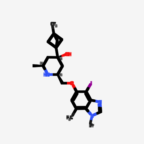 CC(C)n1cnc2c(I)c(OC[C@@H]3C[C@](O)(C45CC(C(F)(F)F)(C4)C5)C[C@H](C)N3)cc(C(F)(F)F)c21